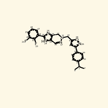 CC(C)c1ccc(-c2cc(CN3Cc4nc(-c5cccc(F)c5F)[nH]c4C=N3)on2)cc1